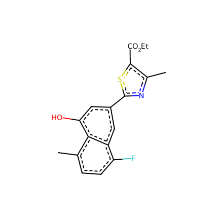 CCOC(=O)c1sc(-c2cc(O)c3c(C)ccc(F)c3c2)nc1C